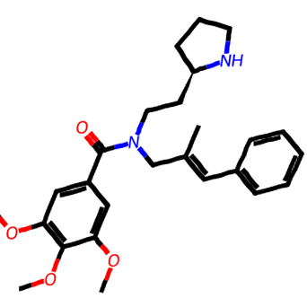 COc1cc(C(=O)N(CC[C@H]2CCCN2)C/C(C)=C/c2ccccc2)cc(OC)c1OC